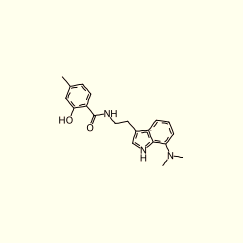 Cc1ccc(C(=O)NCCc2c[nH]c3c(N(C)C)cccc23)c(O)c1